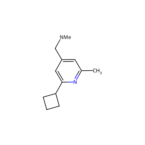 CNCc1cc(C)nc(C2CCC2)c1